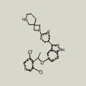 CC(Oc1ccc2[nH]nc(-c3cnc(N4CC5(CCCNC5)C4)nc3)c2c1)c1c(Cl)cncc1Cl